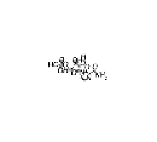 NC(=O)c1nccn([C@@H]2O[C@H](COP(=O)(O)O)[C@@H](O)[C@@H]2O)c1=O